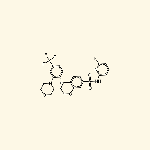 O=S(=O)(Nc1cccc(F)n1)c1ccc2c(c1)OCC[C@@H]2c1ccc(C(F)(F)F)cc1N1CCOCC1